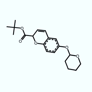 CC(C)(C)OC(=O)C1C=Cc2cc(OC3CCCCO3)ccc2O1